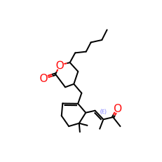 CCCCCC1CC(CC2=CCCC(C)(C)C2/C=C(\C)C(C)=O)CC(=O)O1